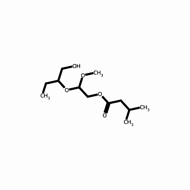 CCC(CO)OC(COC(=O)CC(C)C)OC